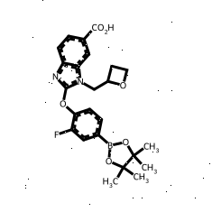 CC1(C)OB(c2ccc(Oc3nc4ccc(C(=O)O)cc4n3CC3CCO3)c(F)c2)OC1(C)C